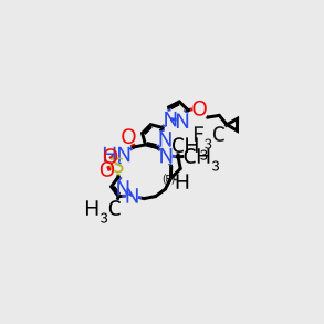 Cc1cc2nn1CCC[C@H]1CN(c3nc(-n4ccc(OCCC5(C(F)(F)F)CC5)n4)ccc3C(=O)NS2(=O)=O)C(C)(C)C1